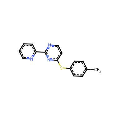 FC(F)(F)c1ccc(Sc2ccnc(-c3ccccn3)n2)cc1